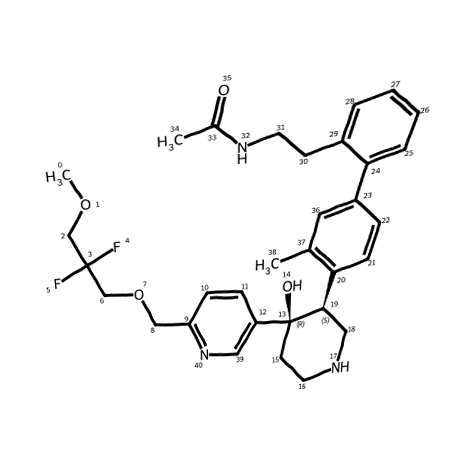 COCC(F)(F)COCc1ccc([C@@]2(O)CCNC[C@@H]2c2ccc(-c3ccccc3CCNC(C)=O)cc2C)cn1